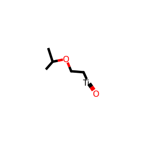 CC(C)OC[CH2][Ti]=[O]